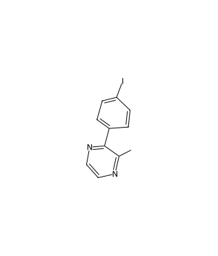 Cc1nccnc1-c1ccc(I)cc1